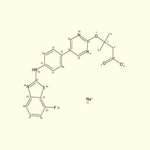 CC(C)(CC(=O)[O-])Oc1ncc(-c2ccc(Nc3nc4cccc(F)c4s3)cc2)cn1.[Na+]